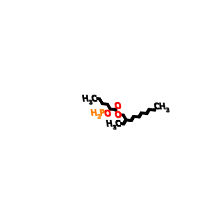 CCCCCCCCC(CC)COC(=O)C(CCCC)OP